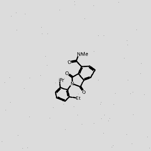 CCc1cccc(C(C)C)c1N1C(=O)c2cccc(C(=O)NC)c2C1=O